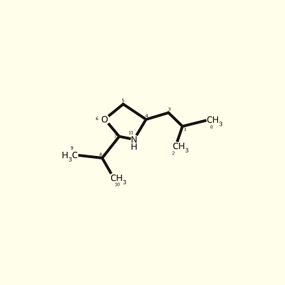 CC(C)CC1COC(C(C)C)N1